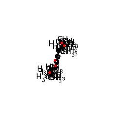 CC(=O)OC(C)(C(=O)NC(c1ncc(-c2ccc(-c3ccc(-c4cnc([C@@H](NC(=O)C(C)(O)C(C)(C)C)C(C)(C)C)[nH]4)cc3)cc2)[nH]1)C(C)(C)C)C(C)(C)C